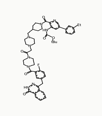 CCc1cccc(-c2cnc(C(=O)N3CCC(CN4CCN(CC(=O)N5CCN(C(=O)c6cc(Cc7n[nH]c(=O)c8ccccc78)ccc6F)CC5)CC4)CC3)c(NC(=O)OC(C)(C)C)c2)c1